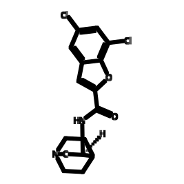 O=C(N[C@@H]1CN2CCC1CC2)c1cc2cc(Cl)cc(Cl)c2o1